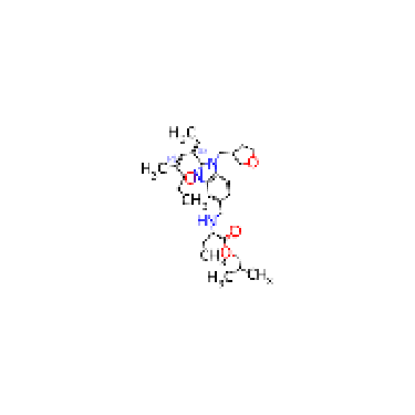 C/C=C(\C=C(\C)C(=O)CC)c1nc2cc(CNC(CC)C(=O)OCC(C)C)ccc2n1CC1CCOC1